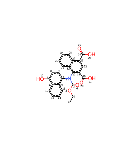 CCOC(=O)N(c1ccc(O)c2ccccc12)c1c(C(=O)O)cc(C(=O)O)c2ccccc12